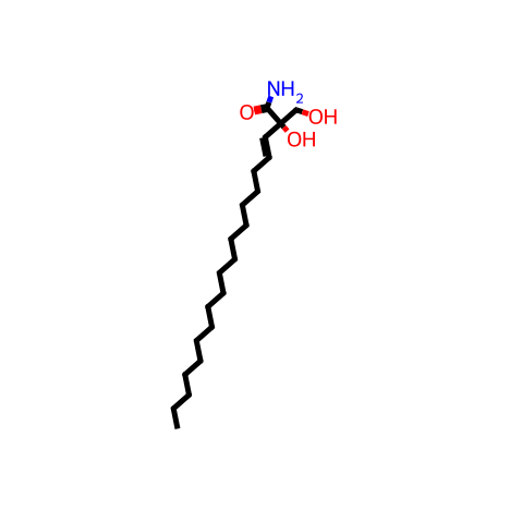 CCCCCCCCCCCCCCCCC=CC(O)(CO)C(N)=O